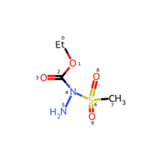 CCOC(=O)N(N)S(C)(=O)=O